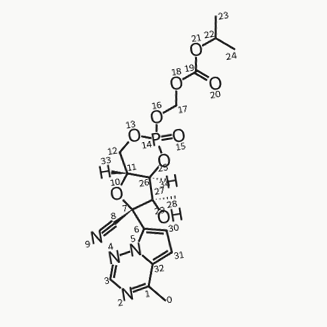 Cc1ncnn2c([C@]3(C#N)O[C@@H]4COP(=O)(OCOC(=O)OC(C)C)O[C@H]4[C@@]3(C)O)ccc12